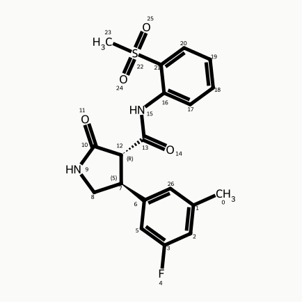 Cc1cc(F)cc([C@H]2CNC(=O)[C@@H]2C(=O)Nc2ccccc2S(C)(=O)=O)c1